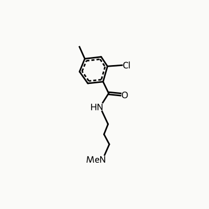 CNCCCNC(=O)c1ccc(C)cc1Cl